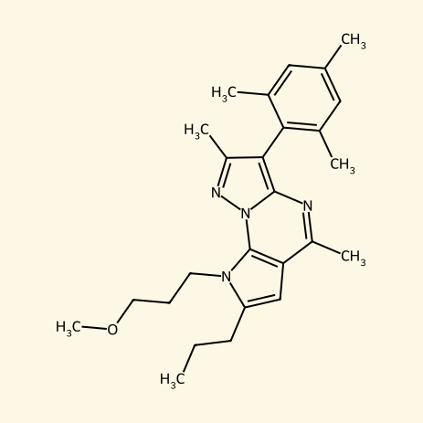 CCCc1cc2c(C)nc3c(-c4c(C)cc(C)cc4C)c(C)nn3c2n1CCCOC